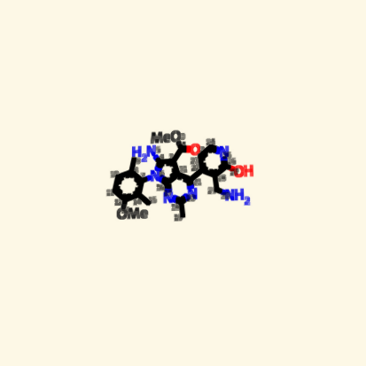 COC(=O)c1c(N)n(-c2c(C)ccc(OC)c2C)c2nc(C)nc(-c3ccnc(O)c3CN)c12